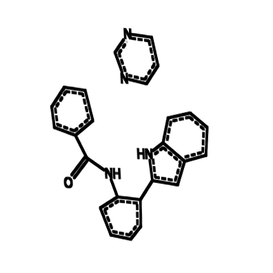 O=C(Nc1ccccc1-c1cc2ccccc2[nH]1)c1ccccc1.c1cncnc1